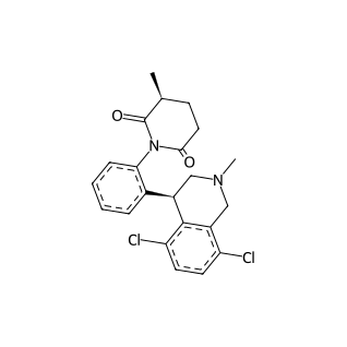 C[C@H]1CCC(=O)N(c2ccccc2[C@H]2CN(C)Cc3c(Cl)ccc(Cl)c32)C1=O